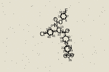 CN(C(=O)Oc1ccc(F)cc1)[C@@H]1CN(C(=O)C2CCN(c3ccc(S(C)(=O)=O)cn3)CC2)C[C@H]1c1ccc(Cl)cc1